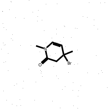 CN1C=CC(C)(Br)CC1=O